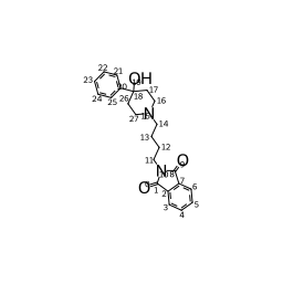 O=C1c2ccccc2C(=O)N1CCCCN1CCC(O)(c2ccccc2)CC1